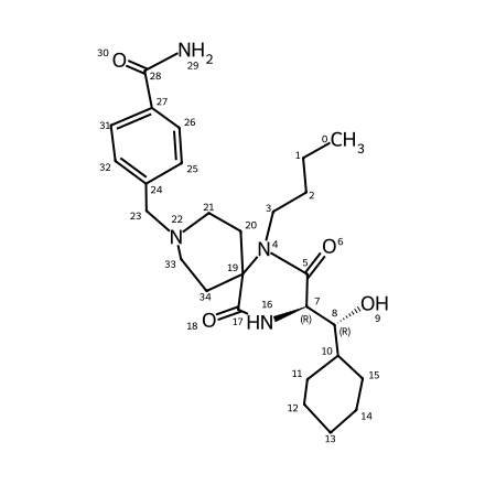 CCCCN1C(=O)[C@@H]([C@H](O)C2CCCCC2)NC(=O)C12CCN(Cc1ccc(C(N)=O)cc1)CC2